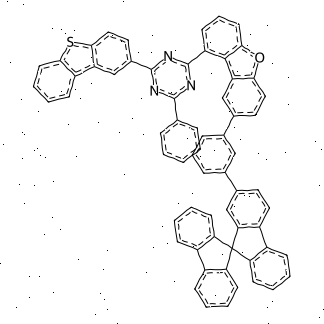 c1ccc(-c2nc(-c3ccc4sc5ccccc5c4c3)nc(-c3cccc4oc5ccc(-c6cccc(-c7ccc8c(c7)C7(c9ccccc9-c9ccccc97)c7ccccc7-8)c6)cc5c34)n2)cc1